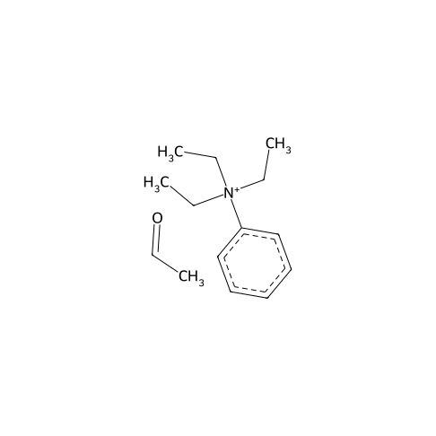 CC=O.CC[N+](CC)(CC)c1ccccc1